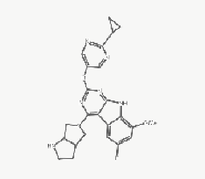 CNc1cc(F)cc2c1[nH]c1nc(Oc3cnc(C4CC4)nc3)nc(N3CC4CCNC4C3)c12